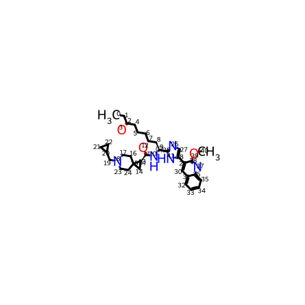 CCC(=O)CCCCC[C@H](NC(=O)[C@H]1CC12CCN(CC1CC1)CC2)c1ncc(-c2cc3ccccc3nc2OC)[nH]1